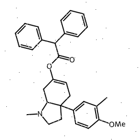 COc1ccc(C23CC=C(OC(=O)C(c4ccccc4)c4ccccc4)CC2N(C)CC3)cc1C